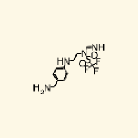 N=CN(CCNc1ccc(CN)cc1)S(=O)(=O)C(F)(F)F